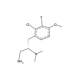 COc1ccc(C[C@@H](CN)N(C)C)c(Cl)c1F